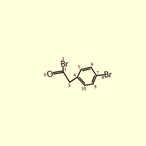 O=C(Br)Cc1ccc(Br)cc1